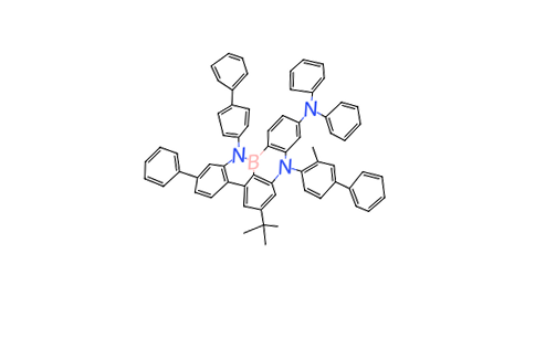 Cc1cc(-c2ccccc2)ccc1N1c2cc(N(c3ccccc3)c3ccccc3)ccc2B2c3c(cc(C(C)(C)C)cc31)-c1ccc(-c3ccccc3)cc1N2c1ccc(-c2ccccc2)cc1